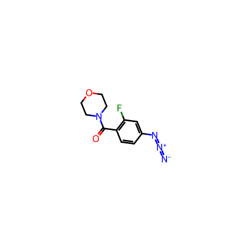 [N-]=[N+]=Nc1ccc(C(=O)N2CCOCC2)c(F)c1